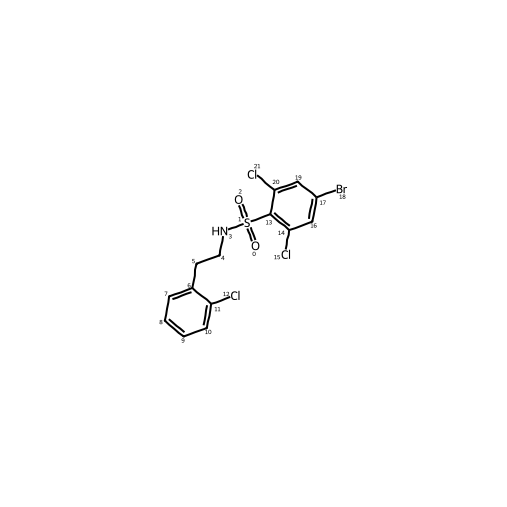 O=S(=O)(NCCc1ccccc1Cl)c1c(Cl)cc(Br)cc1Cl